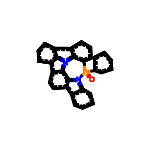 O=P1(c2ccccc2)c2cccc3c4cccc5c6ccc7c8ccccc8n1c7c6n(c23)c45